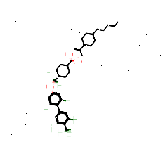 CCCCCC1CCC(C2COC(C3CCC(C(F)(F)Oc4cc(F)c(-c5cc(F)c(C(F)(F)F)c(F)c5)c(F)c4)CC3)OC2)CC1